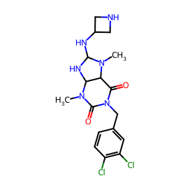 CN1C(=O)N(Cc2ccc(Cl)c(Cl)c2)C(=O)C2C1NC(NC1CNC1)N2C